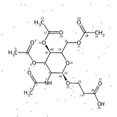 CC(=O)NC1C(OC(C)=O)[C@@H](OC(C)=O)C(COC(C)=O)O[C@H]1OCCC(=O)O